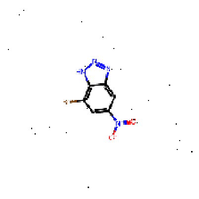 O=[N+]([O-])c1cc(Br)c2[nH]nnc2c1